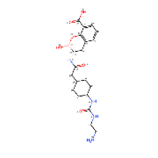 NCCNC(=O)NC1CCC(CC(=O)N[C@H]2Cc3cccc(C(=O)O)c3OB2O)CC1